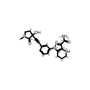 CN1CCC(O)(C#Cc2cccc(-n3nc(C(N)=O)c4c3CCCN4)c2)C1=O